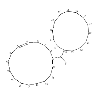 CN(C1CCC/C=C\CCCCCCCCCC1)C1CCCCCCCCCCCCC1